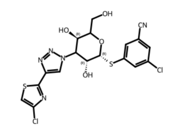 N#Cc1cc(Cl)cc(S[C@H]2OC(CO)[C@H](O)C(n3cc(-c4nc(Cl)cs4)nn3)[C@H]2O)c1